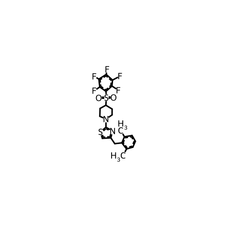 Cc1cccc(C)c1Cc1csc(N2CCC(S(=O)(=O)c3c(F)c(F)c(F)c(F)c3F)CC2)n1